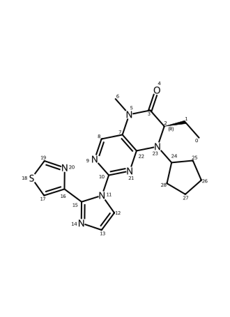 CC[C@@H]1C(=O)N(C)c2cnc(-n3ccnc3-c3cscn3)nc2N1C1CCCC1